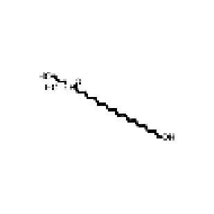 O=C(CCCCCCC/C=C/CCCCCCCCO)OC[C@H](O)CO